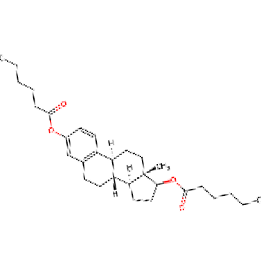 CCCCCC(=O)Oc1ccc2c(c1)CC[C@@H]1[C@@H]2CC[C@]2(C)[C@@H](OC(=O)CCCCC)CC[C@@H]12